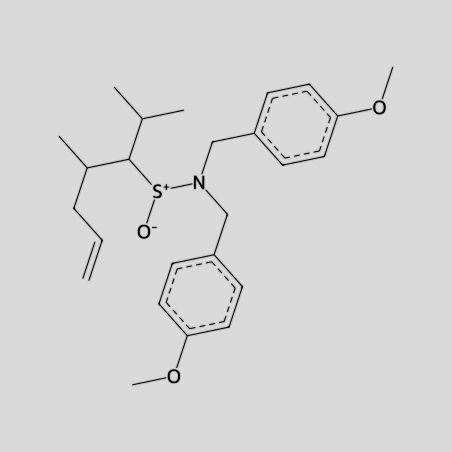 C=CCC(C)C(C(C)C)[S+]([O-])N(Cc1ccc(OC)cc1)Cc1ccc(OC)cc1